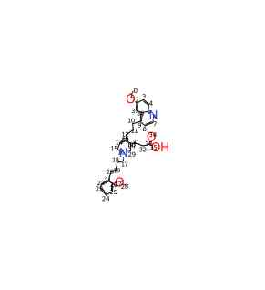 COc1ccc2nccc(CCC[C@@H]3CCN(CCCCc4ccccc4OC)C[C@@H]3CCC(=O)O)c2c1